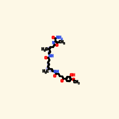 COc1ccc(C(=O)CCCC(=O)N/C=C/C(C)=C\C=C\CC(=O)N/C=C/C(C)=C\Cc2nc(C(N)=O)c(C)o2)cc1O